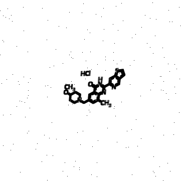 COC1CCN(Cc2cc(C)c3nc(-c4cc5sccc5cn4)[nH]c(=O)c3c2)CC1.Cl